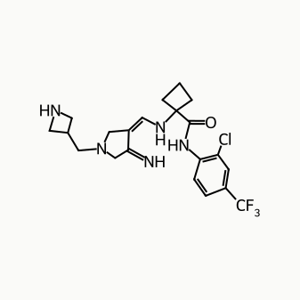 N=C1CN(CC2CNC2)C/C1=C/NC1(C(=O)Nc2ccc(C(F)(F)F)cc2Cl)CCC1